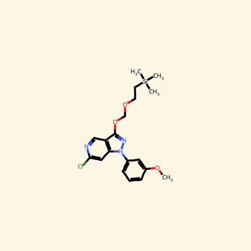 COc1cccc(-n2nc(OCOCC[Si](C)(C)C)c3cnc(Cl)cc32)c1